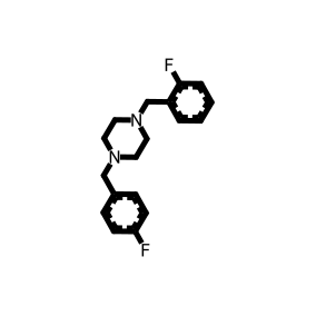 Fc1ccc(CN2CCN(Cc3ccccc3F)CC2)cc1